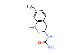 CN1CC(NC(N)=O)Cc2ccc(C(F)(F)F)cc21